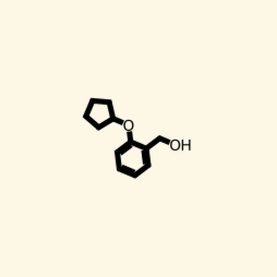 OCc1ccccc1OC1CCCC1